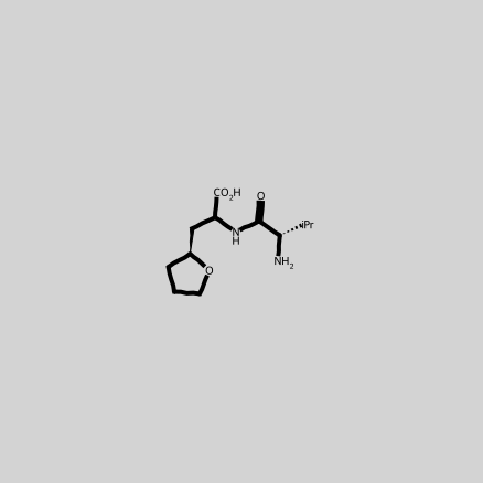 CC(C)[C@H](N)C(=O)NC(C[C@@H]1CCCO1)C(=O)O